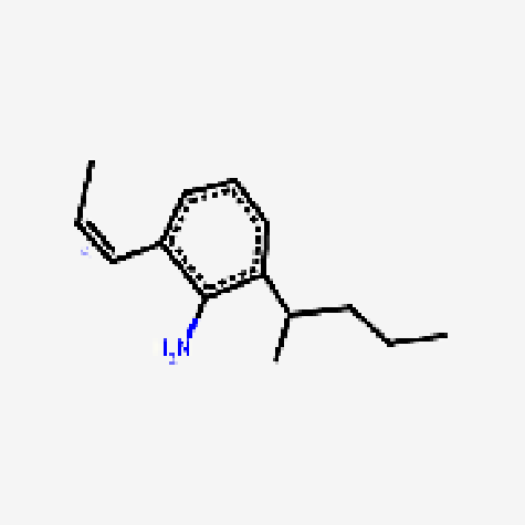 C/C=C\c1cccc(C(C)CCC)c1N